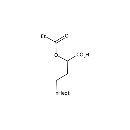 CCCCCCCCCC(OC(=O)CC)C(=O)O